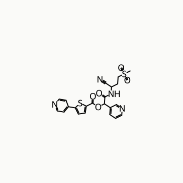 CS(=O)(=O)CCC(C#N)NC(=O)C(OC(=O)c1ccc(-c2ccncc2)s1)c1cccnc1